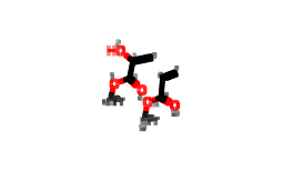 C=C(O)C(=O)OCCC.C=CC(=O)OCCC